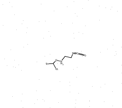 CCC(CC)O[SiH2]CCN=C=O